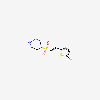 O=S(=O)(/C=C/c1ccc(Cl)s1)N1CCNCC1